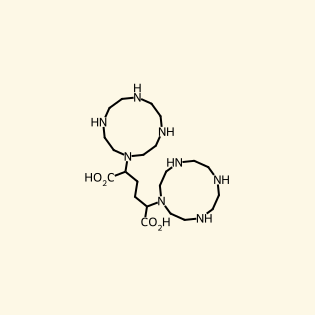 O=C(O)C(CCC(C(=O)O)N1CCNCCNCCNCC1)N1CCNCCNCCNCC1